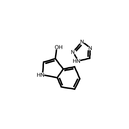 Oc1c[nH]c2ccccc12.c1nnn[nH]1